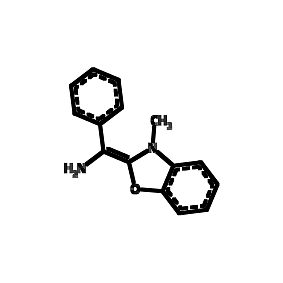 CN1C(=C(N)c2ccccc2)Oc2ccccc21